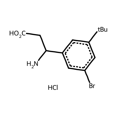 CC(C)(C)c1cc(Br)cc(C(N)CC(=O)O)c1.Cl